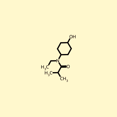 CCN(C(=O)C(C)C)C1CCC(O)CC1